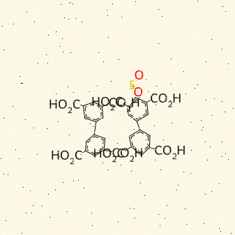 O=C(O)c1cc(C(=O)O)cc(-c2cc(C(=O)O)cc(C(=O)O)c2)c1.O=C(O)c1cc(C(=O)O)cc(-c2cc(C(=O)O)cc(C(=O)O)c2)c1.O=S=O